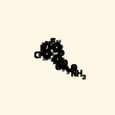 NC(=O)CCCS(=O)(=O)c1cccc(Oc2ccc(F)c(-c3ncnc4c(Cl)cccc34)c2)c1